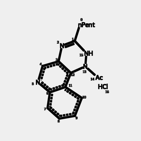 CCCCCC1=Nc2cnc3ccccc3c2N(C(C)=O)N1.Cl